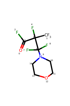 O=C(F)C(F)(C(F)(F)F)C(F)(F)N1CCOCC1